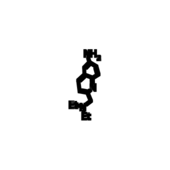 CCN(CC)Cc1ccc2cc(N)ccc2n1